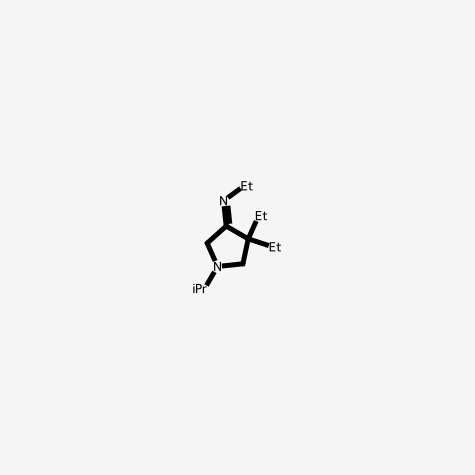 CC/N=C1/CN(C(C)C)CC1(CC)CC